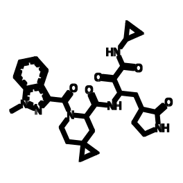 Cn1nc(C(=O)N2CCC3(CC3)CC2C(=O)NC(CC2CCNC2=O)C(=O)C(=O)NC2CC2)c2ccccc21